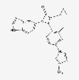 Cc1nc(-n2cnc(C(F)(F)F)c2)ccc1C1C(C2CC2)C(=O)N1c1ccc2[nH]cnc2c1